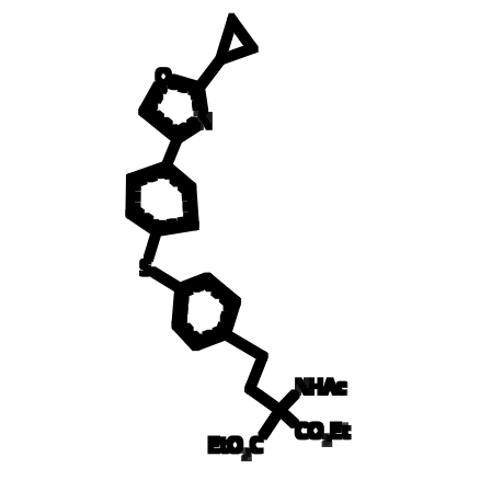 CCOC(=O)C(CCc1ccc(Sc2ccc(-c3coc(C4CC4)n3)cc2)cc1)(NC(C)=O)C(=O)OCC